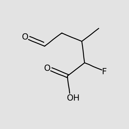 CC(CC=O)C(F)C(=O)O